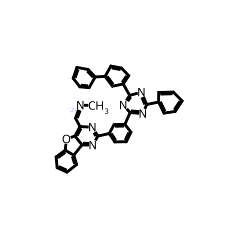 C/N=C\c1nc(-c2cccc(-c3nc(-c4ccccc4)nc(-c4cccc(-c5ccccc5)c4)n3)c2)nc2c1oc1ccccc12